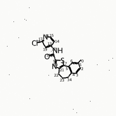 Cc1ccc2c(c1)-c1sc(C(=O)Nc3ccnc(Cl)c3)nc1CCC2